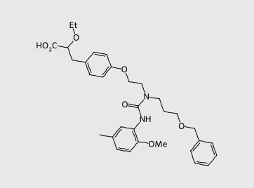 CCOC(Cc1ccc(OCCN(CCCOCc2ccccc2)C(=O)Nc2cc(C)ccc2OC)cc1)C(=O)O